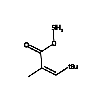 CC(=CC(C)(C)C)C(=O)O[SiH3]